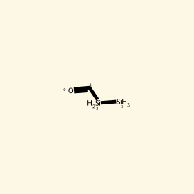 O=C[SiH2][SiH3]